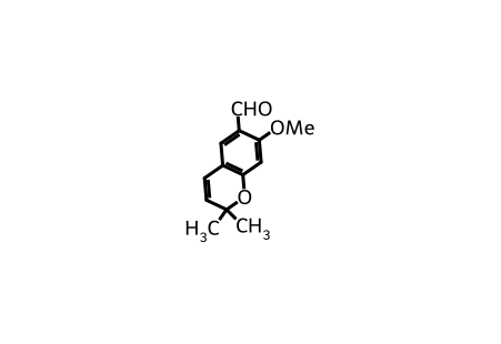 COc1cc2c(cc1C=O)C=CC(C)(C)O2